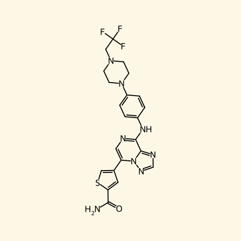 NC(=O)c1cc(-c2cnc(Nc3ccc(N4CCN(CC(F)(F)F)CC4)cc3)c3ncnn23)cs1